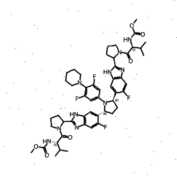 COC(=O)N[C@H](C(=O)N1CCCC1c1nc2cc(F)c([C@H]3CC[C@H](c4cc5[nH]c(C6CCCN6C(=O)[C@@H](NC(=O)OC)C(C)C)nc5cc4F)N3c3cc(F)c(N4CCCCC4)c(F)c3)cc2[nH]1)C(C)C